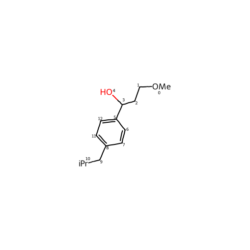 COCCC(O)c1ccc(CC(C)C)cc1